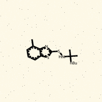 CCCCC(C)(C)NSc1nc2c(C)cccc2s1